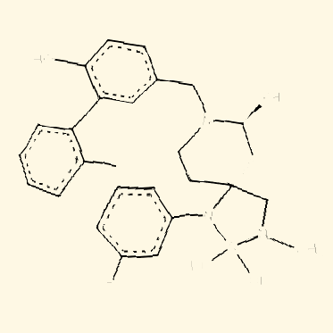 C[C@H]1C[C@]2(CCN1Cc1ccc(O)c(-c3ccccc3F)c1)CN(C)S(O)(O)N2c1cccc(F)c1